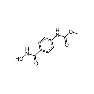 COC(=O)Nc1ccc(C(=O)NO)cc1